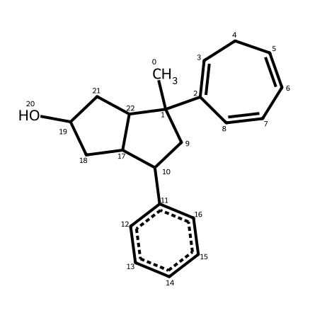 CC1(C2=CCC=CC=C2)CC(c2ccccc2)C2CC(O)CC21